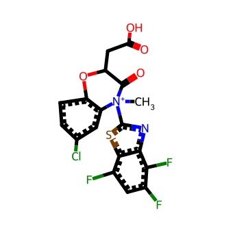 C[N+]1(c2nc3c(F)c(F)cc(F)c3s2)C(=O)C(CC(=O)O)Oc2ccc(Cl)cc21